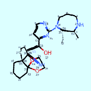 C[C@@H]1NCCCN(c2nccc(/C(O)=C3\CCC[C@@]4(CCCCC45OCCO5)C3=N)n2)[C@H]1C